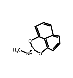 CNP1Oc2cccc3cccc(c23)O1